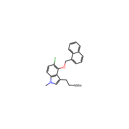 CNCCc1cn(C)c2ccc(F)c(OCc3cccc4ccccc34)c12